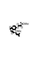 CO[C@H]1[C@H](C2(C)O[C@@H]2CC=C(C)C)[C@]2(CC[C@H]1OC(=O)C(=O)N(C)OC)CO2